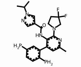 Cc1cc(-c2cc(P)ccc2P)c(NC(=O)c2cnn(C(C)C)c2)c(N2CCC(F)(F)C2)n1